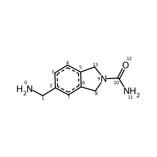 NCc1ccc2c(c1)CN(C(N)=O)C2